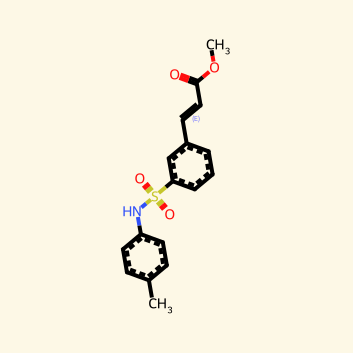 COC(=O)/C=C/c1cccc(S(=O)(=O)Nc2ccc(C)cc2)c1